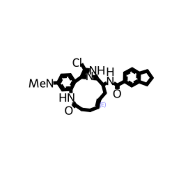 CNc1ccc2c(c1)NC(=O)CC/C=C/CC(NC(=O)c1ccc3c(c1)CCC3)c1nc-2c(Cl)[nH]1